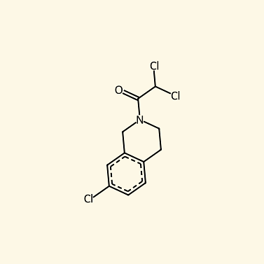 O=C(C(Cl)Cl)N1CCc2ccc(Cl)cc2C1